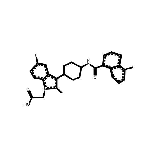 Cc1cccc2c(C(=O)NC3CCC(c4c(C)n(CC(=O)O)c5ccc(F)cc45)CC3)cccc12